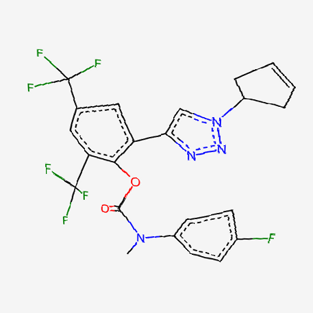 CN(C(=O)Oc1c(-c2cn(C3CC=CC3)nn2)cc(C(F)(F)F)cc1C(F)(F)F)c1ccc(F)cc1